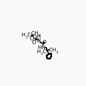 CC(C)(C)OC(=O)NCC(=O)NCC(C)(C)c1ccccc1